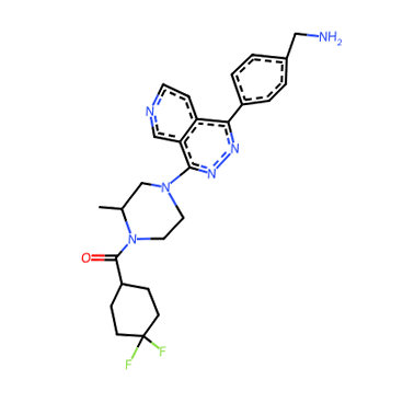 CC1CN(c2nnc(-c3ccc(CN)cc3)c3ccncc23)CCN1C(=O)C1CCC(F)(F)CC1